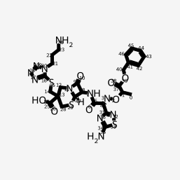 CC(ON=C(C(=O)NC1C(=O)N2CC(CSc3nnnn3CCCN)(C(=O)O)CS[C@H]12)c1nsc(N)n1)C(=O)OCc1ccccc1